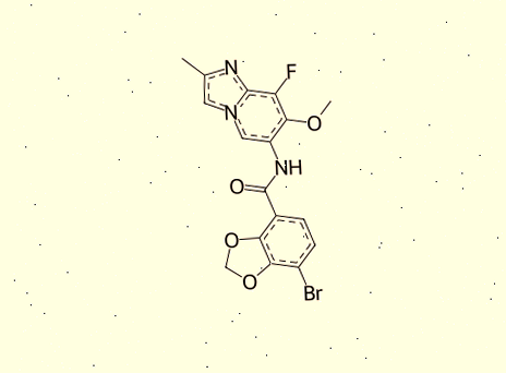 COc1c(NC(=O)c2ccc(Br)c3c2OCO3)cn2cc(C)nc2c1F